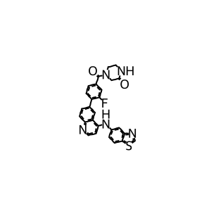 O=C1CN(C(=O)c2ccc(-c3ccc4nccc(Nc5ccc6scnc6c5)c4c3)c(F)c2)CCN1